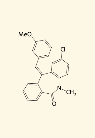 COc1cccc(C=C2c3ccccc3C(=O)N(C)c3ccc(Cl)cc32)c1